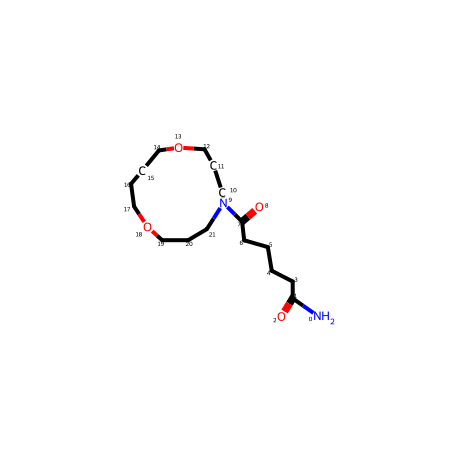 NC(=O)CCCCC(=O)N1CCCOCCCCOCCC1